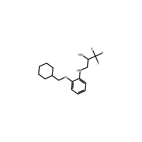 OC(CNc1ccccc1OCC1CCCCC1)C(F)(F)F